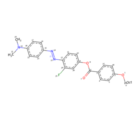 CCCCCCCCOc1ccc(C(=O)Oc2ccc(/N=N/c3ccc(N(C)C)cc3)c(F)c2)cc1